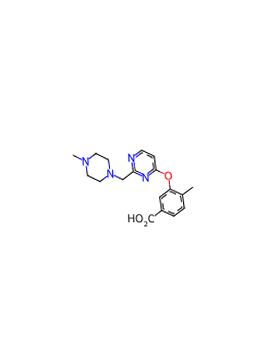 Cc1ccc(C(=O)O)cc1Oc1ccnc(CN2CCN(C)CC2)n1